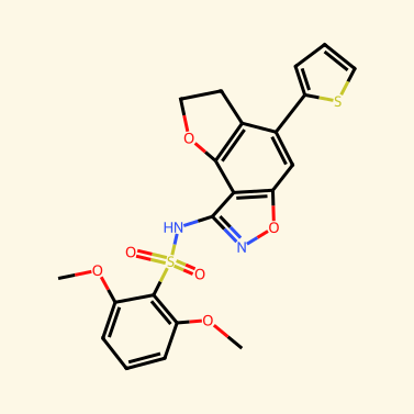 COc1cccc(OC)c1S(=O)(=O)Nc1noc2cc(-c3cccs3)c3c(c12)OCC3